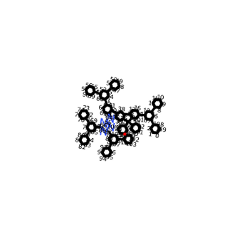 c1ccc(-c2cc(-c3ccccc3)cc(-c3ccc4c(c3)C(c3ccccc3)(c3ccccc3)c3cc5c(cc3-4)c3cc(-c4cc(-c6ccccc6)cc(-c6ccccc6)c4)ccc3n5-c3nc(-c4cc(-c5ccccc5)cc(-c5ccccc5)c4)nc(-c4cc(-c5ccccc5)cc(-c5ccccc5)c4)n3)c2)cc1